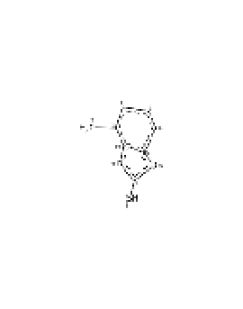 FC(F)(F)c1cccc2oc(S)nc12